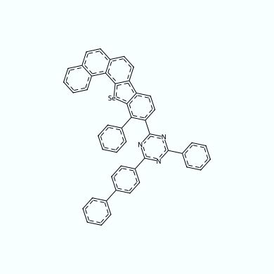 c1ccc(-c2ccc(-c3nc(-c4ccccc4)nc(-c4ccc5c([se]c6c5ccc5ccc7ccccc7c56)c4-c4ccccc4)n3)cc2)cc1